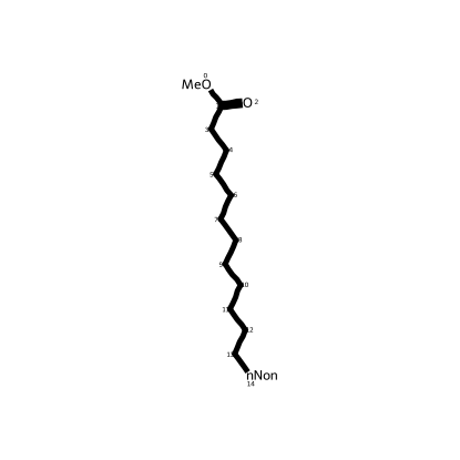 [CH2]OC(=O)CCCCCCCCCCCCCCCCCCCC